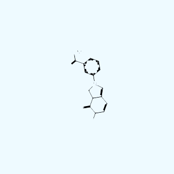 COC(=O)c1cccc(N2C=C3C=CC(O)C(=O)C3C2)c1